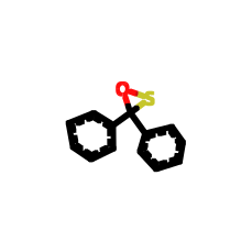 c1ccc(C2(c3ccccc3)OS2)cc1